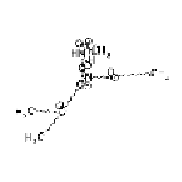 CCCCCCCCCCCOC(=O)CCCCCN1CC(OC(=O)CCNc2c(NC)c(=O)c2=O)C[C@H]1C(=O)OCCCCCCCC(=O)OC(CCCCCCCC)CCCCCCCC